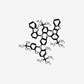 Cc1cc(C(C)(C)C)ccc1N(c1ccc2c(c1)N(c1cccc3c1sc1ccccc13)c1cc(C(C)(C)C)cc3c1B2c1cc(C(C)(C)C)cc2c4sc5ccccc5c4n-3c12)c1ccc(C(C)(C)C)cc1C